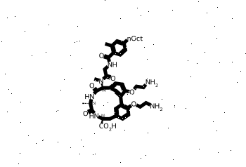 CCCCCCCCc1ccc(C(=O)NCC(=O)N(C)[C@@H]2C(=O)N[C@@H](C)C(=O)N[C@H](C(=O)O)Cc3ccc(OCCN)c(c3)-c3cc2ccc3OCCN)c(C)c1